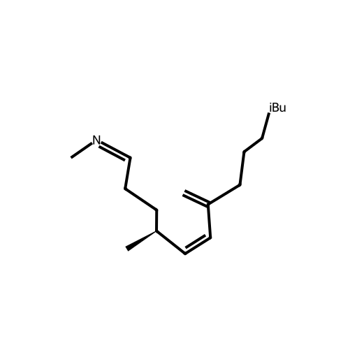 C=C(/C=C\[C@@H](C)CC/C=N\C)CCCC(C)CC